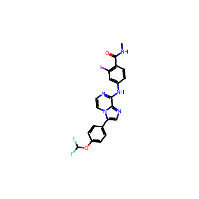 CNC(=O)c1ccc(Nc2nccn3c(-c4ccc(OC(F)F)cc4)cnc23)cc1I